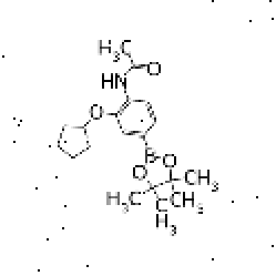 CC(=O)Nc1ccc(B2OC(C)(C)C(C)(C)O2)cc1OC1CCCC1